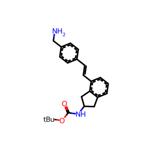 CC(C)(C)OC(=O)NC1Cc2cccc(/C=C/c3ccc(CN)cc3)c2C1